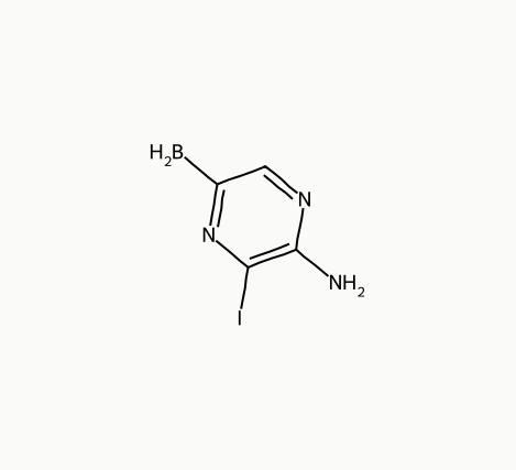 Bc1cnc(N)c(I)n1